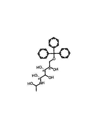 CC(O)N[C@H](O)C(O)[C@H](O)[C@H](O)COC(c1ccccc1)(c1ccccc1)c1ccccc1